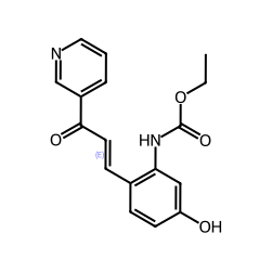 CCOC(=O)Nc1cc(O)ccc1/C=C/C(=O)c1cccnc1